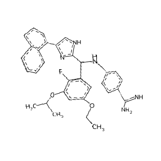 CCOc1cc(OC(C)C)c(F)c(C(Nc2ccc(C(=N)N)cc2)c2nc(-c3cccc4ccccc34)c[nH]2)c1